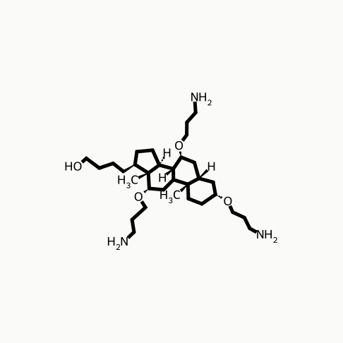 C[C@@]12[C@@H](CCCCO)CC[C@H]1[C@H]1C(C[C@@H]2OCCCN)[C@@]2(C)CC[C@@H](OCCCN)C[C@H]2C[C@H]1OCCCN